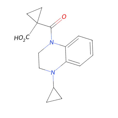 O=C(O)C1(C(=O)N2CCN(C3CC3)c3ccccc32)CC1